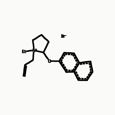 C=CC[N+]1(CC)CCCC1Oc1ccc2ccccc2c1.[Br-]